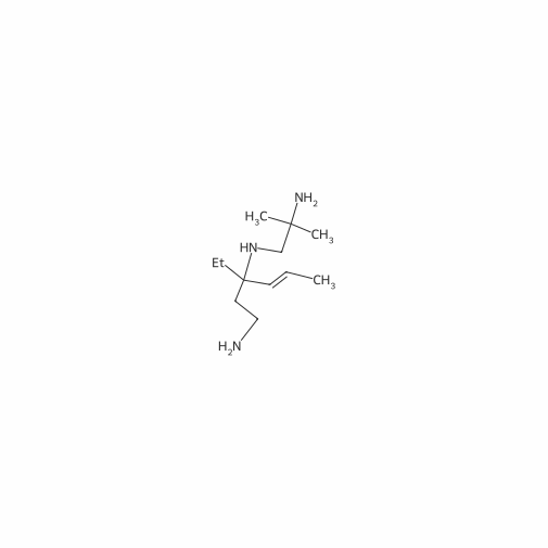 CC=CC(CC)(CCN)NCC(C)(C)N